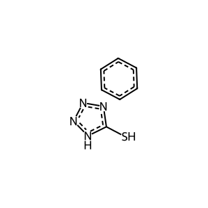 Sc1nnn[nH]1.c1ccccc1